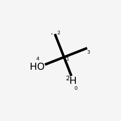 [2H]C([CH2])(C)O